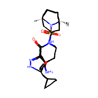 NC1CCN(S(=O)(=O)N2[C@@H]3CC[C@H]2CC(NC(=O)c2cc(C4CC4)[nH]n2)C3)CC1